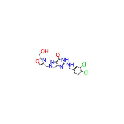 O=c1[nH]c(NCc2ccc(Cl)c(Cl)c2)nc2cn(Cc3coc(CO)n3)nc12